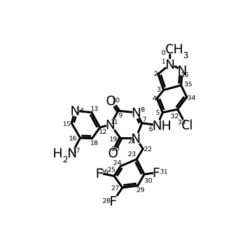 Cn1cc2cc(Nc3nc(=O)n(-c4cncc(N)c4)c(=O)n3Cc3cc(F)c(F)cc3F)c(Cl)cc2n1